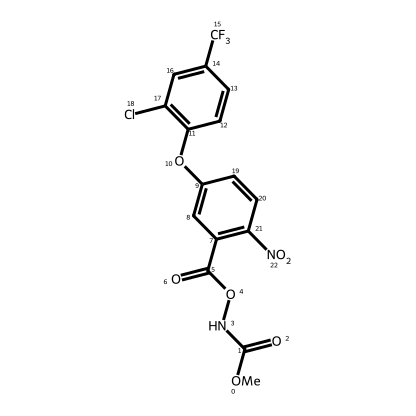 COC(=O)NOC(=O)c1cc(Oc2ccc(C(F)(F)F)cc2Cl)ccc1[N+](=O)[O-]